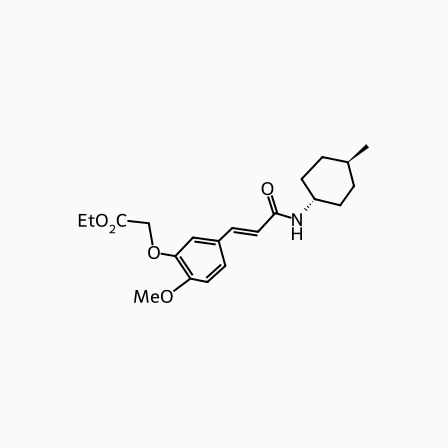 CCOC(=O)COc1cc(/C=C/C(=O)N[C@H]2CC[C@H](C)CC2)ccc1OC